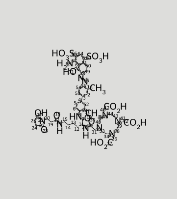 Cc1cc(-c2ccc(NC(=O)[C@@H](CCCCNC(=O)CCN3C(=O)C=CC3O)NC(=O)CN3CCN(CC(=O)O)CCN(CC(=O)O)CCN(CC(=O)O)CC3)c(C)c2)ccc1N=Nc1ccc2c(S(=O)(=O)O)cc(S(=O)(=O)O)c(N)c2c1O